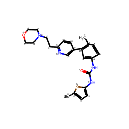 Cc1ccc(NC(=O)Nc2ccc(C(C)(C)C)s2)cc1-c1ccc(CCN2CCOCC2)nc1